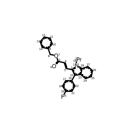 CC(C)n1c(/C=C/C(=O)OCc2ccccc2)c(-c2ccc(F)cc2)c2ccccc21